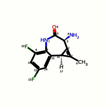 CC1=C2[C@H](N)C(=O)Nc3c(F)cc(F)cc3[C@H]12